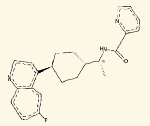 C[C@@H](NC(=O)c1ccccn1)[C@H]1CC[C@H](c2ccnc3ccc(F)cc32)CC1